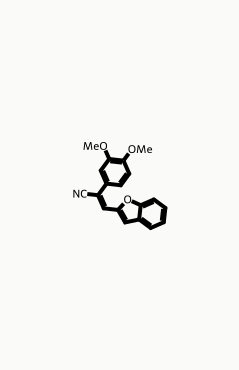 COc1ccc(C(C#N)=Cc2cc3ccccc3o2)cc1OC